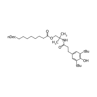 CCCCCCCCCCCCCCCCCC(=O)OCC(C)(C)NC(=O)CCc1cc(C(C)(C)C)c(O)c(C(C)(C)C)c1